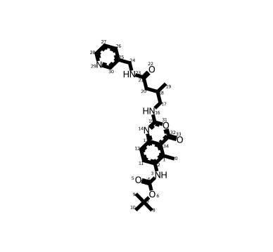 Cc1c(NC(=O)OC(C)(C)C)ccc2nc(NCC(C)CC(=O)NCc3cccnc3)oc(=O)c12